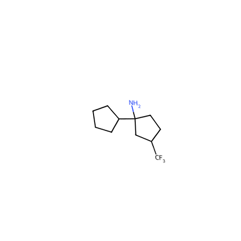 NC1(C2CCCC2)CCC(C(F)(F)F)C1